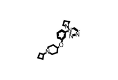 [C]1=C[N+](c2cccc(OC3CCN(C4CCC4)CC3)c2)(N2CCC2)N=N1